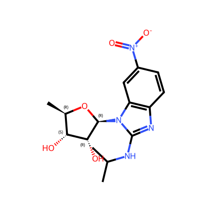 CC(C)Nc1nc2ccc([N+](=O)[O-])cc2n1[C@@H]1O[C@H](C)[C@@H](O)[C@H]1O